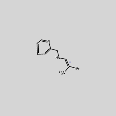 CC(C)/C(N)=C/NCc1ccccn1